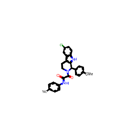 COc1ccc(C2c3[nH]c4ccc(Cl)cc4c3CCN2C(=O)C(=O)Nc2ccc(C#N)cc2)cc1